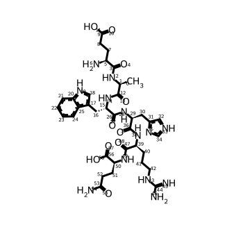 C[C@H](NC(=O)[C@@H](N)CCC(=O)O)C(=O)N[C@@H](Cc1c[nH]c2ccccc12)C(=O)N[C@@H](Cc1c[nH]cn1)C(=O)N[C@@H](CCCNC(=N)N)C(=O)N[C@@H](CCC(N)=O)C(=O)O